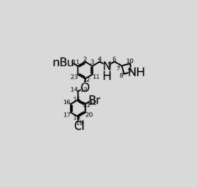 CCCCc1cc(CNCC2CNC2)cc(OCc2ccc(Cl)cc2Br)c1